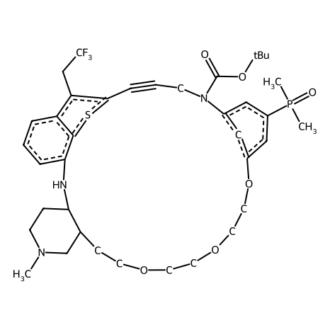 CN1CCC2Nc3cccc4c(CC(F)(F)F)c(sc34)C#CCN(C(=O)OC(C)(C)C)c3cc(cc(P(C)(C)=O)c3)OCCOCCOCCC2C1